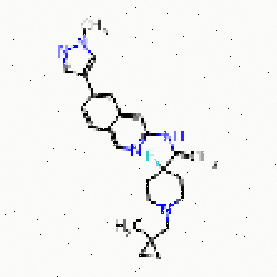 C=C(Nc1cc2cc(-c3cnn(C)c3)ccc2cn1)C1(F)CCN(CC2(C)CC2)CC1